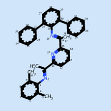 CC(=Nc1c(C)cccc1C)c1cccc(C(C)=Nc2c(-c3ccccc3)cccc2-c2ccccc2)n1